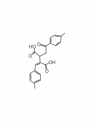 Cc1ccc(C=C(C(=O)O)C(CC(=O)c2ccc(C)cc2)C(=O)O)cc1